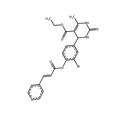 CCOC(=O)C1=C(C)NC(=S)NC1c1ccc(OC(=O)/C=C/c2ccncc2)c(Br)c1